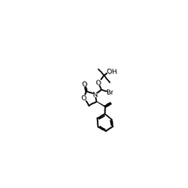 C=C(c1ccccc1)[C@H]1COC(=O)N1C(Br)OC(C)(C)O